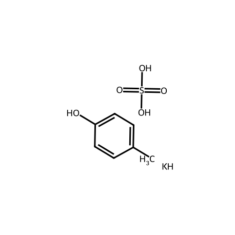 Cc1ccc(O)cc1.O=S(=O)(O)O.[KH]